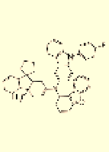 CC12CC=C(N(C3=CC4C5=C(C=CCC5)N(C5=CCC(F)C=C5)C4C=C3)C3CC=Cc4oc5ccccc5c43)CC1C1(CCCC1)C1C=CCCC12